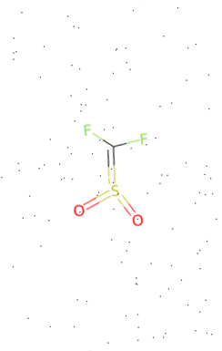 O=S(=O)=C(F)F